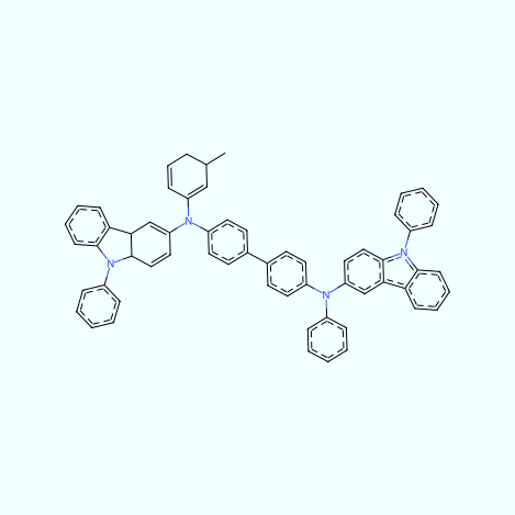 CC1C=C(N(C2=CC3c4ccccc4N(c4ccccc4)C3C=C2)c2ccc(-c3ccc(N(c4ccccc4)c4ccc5c(c4)c4ccccc4n5-c4ccccc4)cc3)cc2)C=CC1